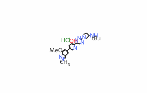 COc1cc(-c2cnc(-c3cnc(N4CC[C@@H](NC(C)(C)C)C4)nn3)c(O)c2)cc2cn(C)nc12.Cl